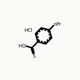 CCCc1ccc(C(O)=S)cc1.Cl